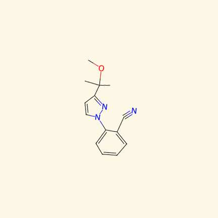 COC(C)(C)c1ccn(-c2ccccc2C#N)n1